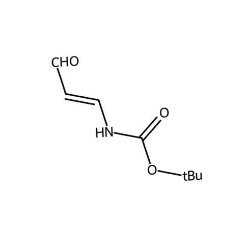 CC(C)(C)OC(=O)NC=CC=O